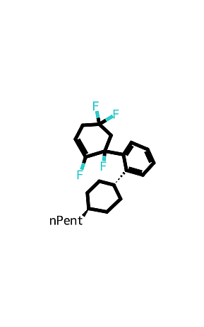 CCCCC[C@H]1CC[C@H](c2ccccc2C2(F)CC(F)(F)CC=C2F)CC1